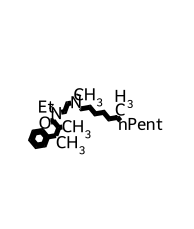 CCCCCC(C)CCCCCN(C)CCN(CC)C(=O)C(C)C(C)c1ccccc1